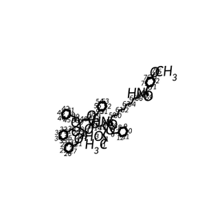 CC[C@@H](O)[C@@H](OCc1ccccc1)[C@H](CO[C@H]1OC(COCc2ccccc2)[C@H](OCc2ccccc2)C(OCc2ccccc2)CC1OCc1ccccc1)NC(=O)CCCCCCCCNC(=O)c1ccc(OC)cc1